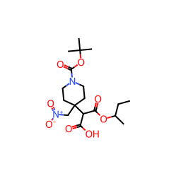 CCC(C)OC(=O)C(C(=O)O)C1(C[N+](=O)[O-])CCN(C(=O)OC(C)(C)C)CC1